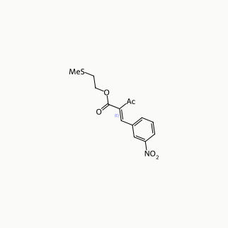 CSCCOC(=O)/C(=C/c1cccc([N+](=O)[O-])c1)C(C)=O